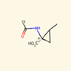 CCC(=O)N[C@]1(C(=O)O)CC1C